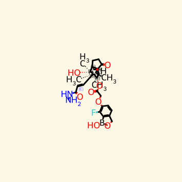 C[C@@H]1CC[C@@]23CCC(=O)[C@H]2[C@]1(C)[C@H](OC(=O)COc1ccc2c(c1F)B(O)OC2)C[C@@](C)(/C=C/C(=O)NN)[C@@H](O)[C@@H]3C